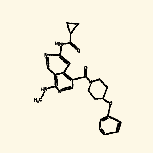 CNc1ncc(C(=O)N2CCC(Oc3ccccc3)CC2)c2cc(NC(=O)C3CC3)ncc12